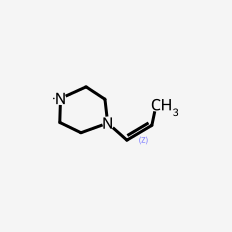 C/C=C\N1CC[N]CC1